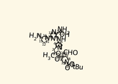 CC(Cc1cc(Nc2nc(N3CCCC(N)C3)cnc2C(N)O)sn1)OC(=O)C1(CC=O)CCN(C(=O)OC(C)(C)C)CC1